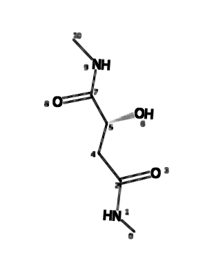 CNC(=O)C[C@@H](O)C(=O)NC